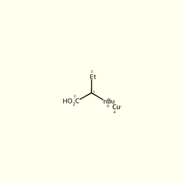 CCCCC(CC)C(=O)O.[Cu]